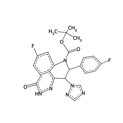 CC(C)(C)OC(=O)N1c2cc(F)cc3c(=O)[nH]nc(c23)C(n2cncn2)C1c1ccc(F)cc1